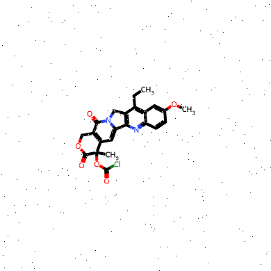 CCc1c2c(nc3ccc(OC)cc13)-c1cc3c(c(=O)n1C2)COC(=O)C3(C)OC(=O)Cl